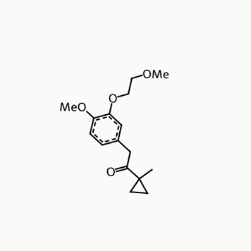 COCCOc1cc(CC(=O)C2(C)CC2)ccc1OC